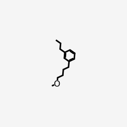 CCCc1cccc(CCCCOC)c1